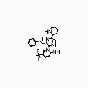 N=C([C@@H](CCc1ccccc1)NC(=O)C1CCCCN1)n1cc(C(F)(F)F)ccc1=N